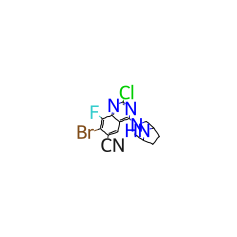 N#Cc1cc2c(N3CC4CCC(C3)N4)nc(Cl)nc2c(F)c1Br